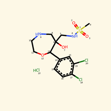 CS(=O)(=O)NCC1(O)CNCCOC1c1ccc(Cl)c(Cl)c1.Cl